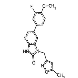 COc1ccc(-c2cnc3[nH]c(=O)n(Cc4cc(C)on4)c3c2)cc1F